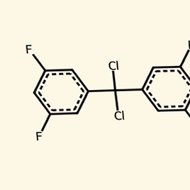 Fc1cc(F)cc(C(Cl)(Cl)c2cc(F)cc(F)c2)c1